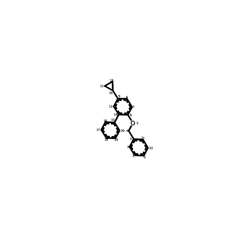 c1ccc(COc2ccc(C3CC3)cc2-c2ccccc2)cc1